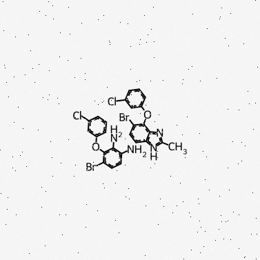 Cc1nc2c(Oc3cccc(Cl)c3)c(Br)ccc2[nH]1.Nc1ccc(Br)c(Oc2cccc(Cl)c2)c1N